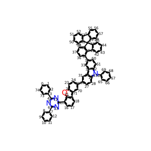 c1ccc(-c2nc(-c3ccccc3)nc(-c3cccc4c3oc3ccc(-c5ccc6c(c5)c5cc(-c7cccc8c7-c7ccccc7C87c8ccccc8-c8ccccc87)ccc5n6-c5ccccc5)cc34)n2)cc1